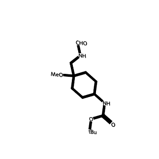 COC1(CNC=O)CCC(NC(=O)OC(C)(C)C)CC1